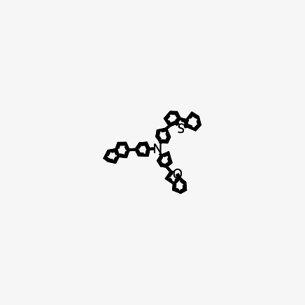 c1ccc2cc(-c3ccc(N(c4ccc(-c5cc6ccccc6o5)cc4)c4ccc(-c5cccc6c5sc5ccccc56)cc4)cc3)ccc2c1